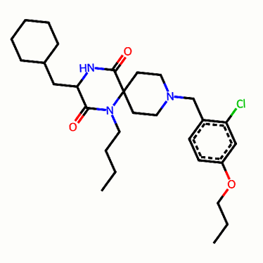 CCCCN1C(=O)C(CC2CCCCC2)NC(=O)C12CCN(Cc1ccc(OCCC)cc1Cl)CC2